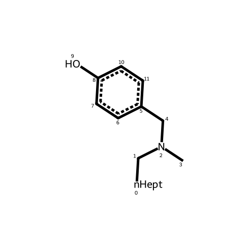 CCCCCCCCN(C)Cc1ccc(O)cc1